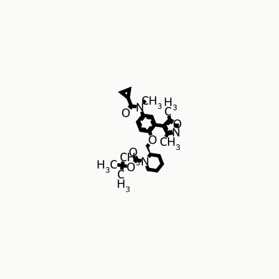 Cc1noc(C)c1-c1cc(N(C)C(=O)C2CC2)ccc1OC[C@H]1CCCCN1C(=O)OC(C)(C)C